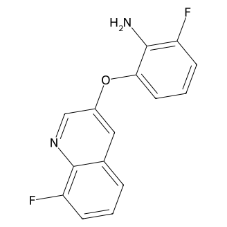 Nc1c(F)cccc1Oc1cnc2c(F)cccc2c1